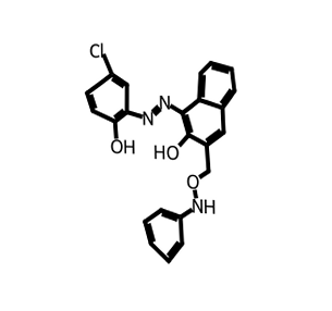 Oc1ccc(Cl)cc1N=Nc1c(O)c(CONc2ccccc2)cc2ccccc12